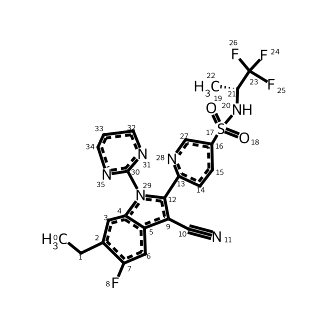 CCc1cc2c(cc1F)c(C#N)c(-c1ccc(S(=O)(=O)N[C@H](C)C(F)(F)F)cn1)n2-c1ncccn1